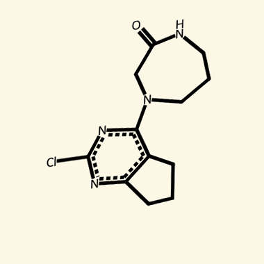 O=C1CN(c2nc(Cl)nc3c2CCC3)CCCN1